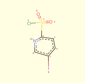 O=S(=O)(Cl)c1ccc(I)cn1